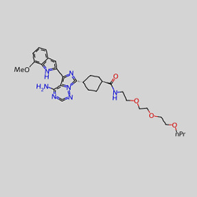 CCCOCCOCCOCCNC(=O)[C@H]1CC[C@H](c2nc(-c3cc4cccc(OC)c4[nH]3)c3c(N)ncnn32)CC1